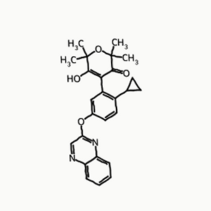 CC1(C)OC(C)(C)C(O)=C(c2cc(Oc3cnc4ccccc4n3)ccc2C2CC2)C1=O